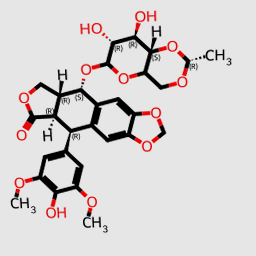 COc1cc([C@@H]2c3cc4c(cc3[C@@H](OC3OC5CO[C@@H](C)O[C@H]5[C@H](O)[C@H]3O)[C@H]3COC(=O)[C@H]23)OCO4)cc(OC)c1O